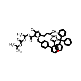 CCCCc1nc(Cl)c(C(=O)OC(C)OC(=O)OC(C)C)n1Cc1ccc(-c2ccccc2-c2nnnn2C(c2ccccc2)(c2ccccc2)c2ccccc2)cc1